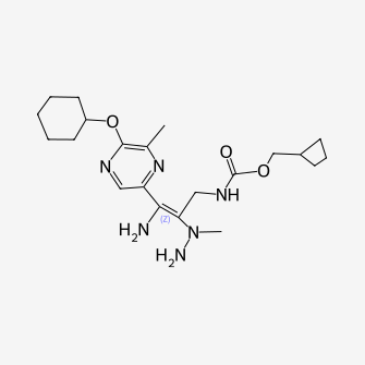 Cc1nc(/C(N)=C(\CNC(=O)OCC2CCC2)N(C)N)cnc1OC1CCCCC1